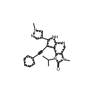 CC(C)n1c(=O)n(C)c2cnc3[nH]c(-c4cnn(C)c4)c(C#Cc4ccccc4)c3c21